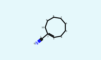 N#C/C1=C/CCCCCCC1